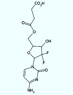 Nc1ccn(C2OC(COC(=O)CCC(=O)O)C(O)C2(F)F)c(=O)n1